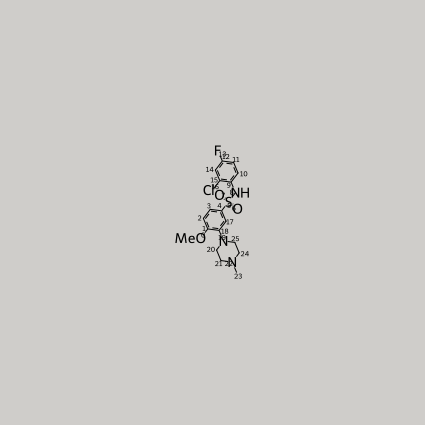 COc1ccc(S(=O)(=O)Nc2ccc(F)cc2Cl)cc1N1CCN(C)CC1